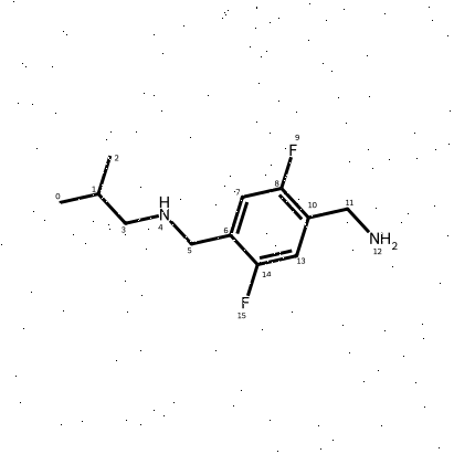 CC(C)CNCc1cc(F)c(CN)cc1F